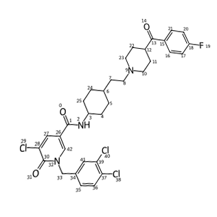 O=C(NC1CCC(CCN2CCC(C(=O)c3ccc(F)cc3)CC2)CC1)c1cc(Cl)c(=O)n(Cc2ccc(Cl)c(Cl)c2)c1